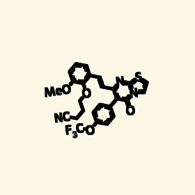 COc1cccc(/C=C/c2nc3sccn3c(=O)c2-c2ccc(OC(F)(F)F)cc2)c1OCCCC#N